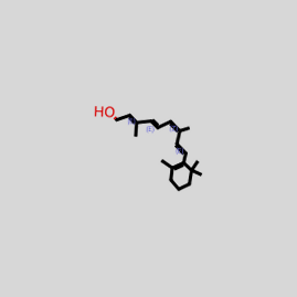 CC1=C(/C=C/C(C)=C\C=C\C(C)=C\CO)C(C)(C)CCC1